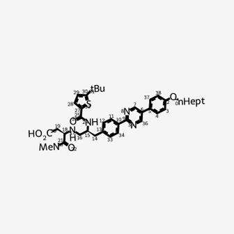 CCCCCCCOc1ccc(-c2cnc(-c3ccc(C[C@@H](CN[C@H](CC(=O)O)C(=O)NC)NC(=O)c4ccc(C(C)(C)C)s4)cc3)nc2)cc1